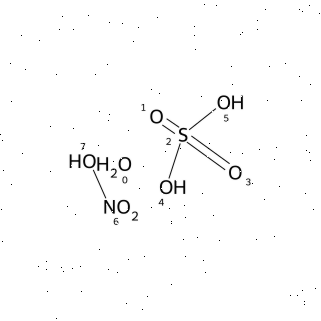 O.O=S(=O)(O)O.O=[N+]([O-])O